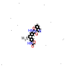 C/C(=C/c1ccc2c(=O)n(-c3cncc4ccccc34)c(=O)[nH]c2c1)c1ccc2c(c1)NC(=O)CO2